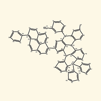 Cc1ccc2c(c1)N(c1cccc(C(C)(C)C)c1)c1cc(-c3ccc4ccc5c(-c6ccccc6)ccc6ccc3c4c65)cc3c1B2c1cccc2c1N3c1ccccc1[Si]2(c1ccccc1)c1ccccc1